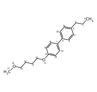 CCCc1ccc(-c2ccc(OCCCCOC)cc2)cc1